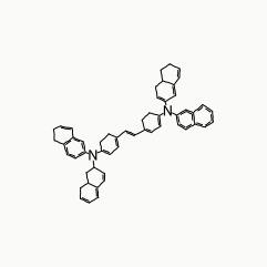 C1=CCC2CC(N(C3=CC=C(/C=C/C4=CC=C(N(C5=CCC6CCC=CC6=C5)c5ccc6ccccc6c5)CC4)CC3)c3ccc4c(c3)C=CCC4)C=CC2=C1